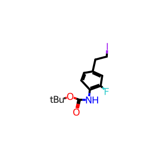 CC(C)(C)OC(=O)Nc1ccc(CCI)cc1F